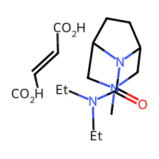 CCN(CC)C(=O)N1C2CCC1CN(C)C2.O=C(O)C=CC(=O)O